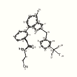 O=C(NCCO)c1cccc(-c2ccc(F)c3cc(Cc4cccc(C(F)(F)F)c4)oc23)c1